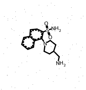 NCC1CCN(c2c(S(N)(=O)=O)ccc3ccccc23)CC1